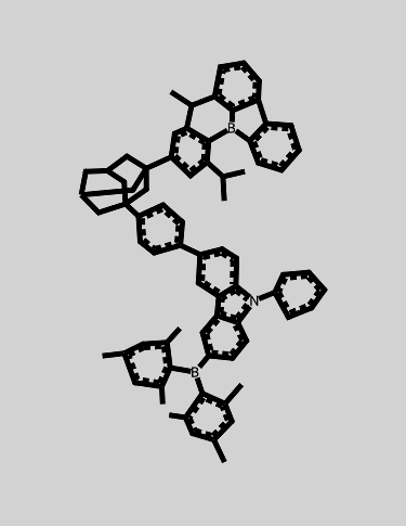 Cc1cc(C)c(B(c2ccc3c(c2)c2cc(-c4ccc(C56CC7CC(C5)CC(c5cc(C(C)C)c8c(c5)C(C)c5cccc9c5B8c5ccccc5-9)(C7)C6)cc4)ccc2n3-c2ccccc2)c2c(C)cc(C)cc2C)c(C)c1